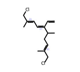 C=C/C(=C\C=C(/C)CCl)C(C)C/C=C(\C)CCl